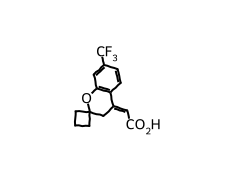 O=C(O)C=C1CC2(CCC2)Oc2cc(C(F)(F)F)ccc21